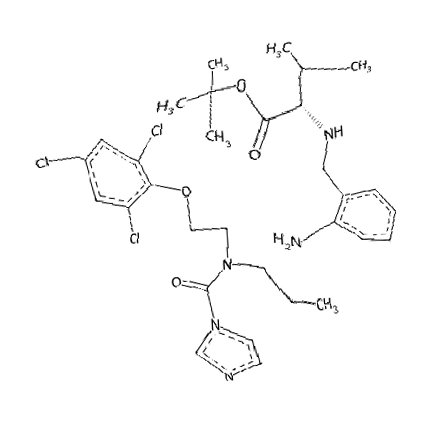 CC(C)[C@H](NCc1ccccc1N)C(=O)OC(C)(C)C.CCCN(CCOc1c(Cl)cc(Cl)cc1Cl)C(=O)n1ccnc1